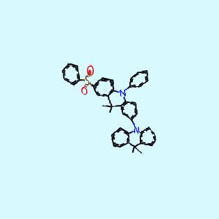 CC1(C)c2ccccc2N(c2ccc3c(c2)C(C)(C)c2cc(S(=O)(=O)c4ccccc4)ccc2N3c2ccccc2)c2ccccc21